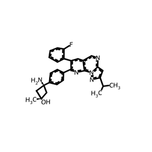 CC(C)c1cc2ncc3cc(-c4ccccc4F)c(-c4ccc([C@]5(N)C[C@](C)(O)C5)cc4)nc3n2n1